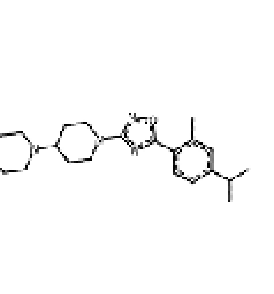 Cc1cc(C(C)C)ccc1-c1nc(N2CCC(N3CCOCC3)CC2)no1